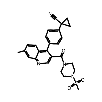 Cc1ccc2c(-c3ccc(C4(C#N)CC4)cc3)c(C(=O)N3CCN(S(C)(=O)=O)CC3)cnc2c1